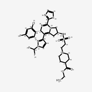 CCOC(=O)C1CCN(CCS(=O)(=O)N[C@H]2CC3=C(c4ccn(C(F)F)n4)[C@H](c4ccc(F)cc4Cl)N=C(c4nccs4)N3C2)CC1